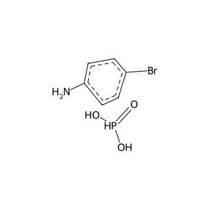 Nc1ccc(Br)cc1.O=[PH](O)O